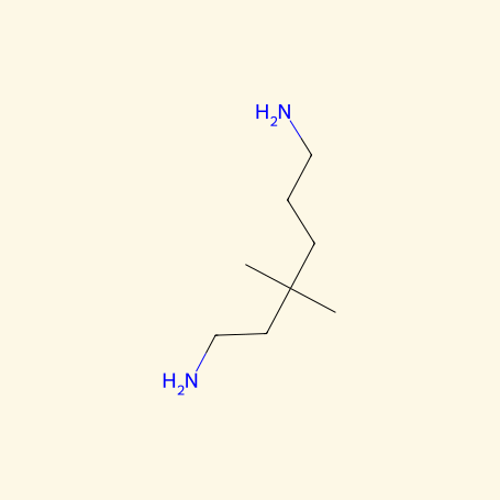 CC(C)(CCN)CCCN